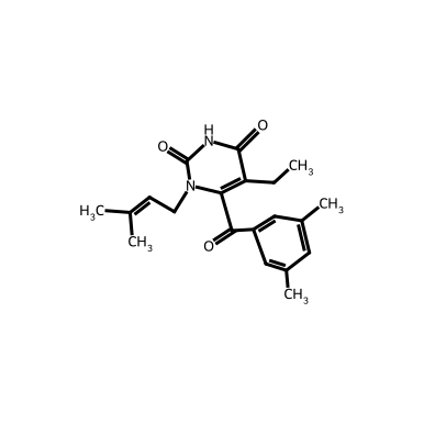 CCc1c(C(=O)c2cc(C)cc(C)c2)n(CC=C(C)C)c(=O)[nH]c1=O